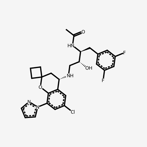 CC(=O)N[C@@H](Cc1cc(F)cc(F)c1)[C@H](O)CN[C@H]1CC2(CCC2)Oc2c1cc(Cl)cc2-n1cccn1